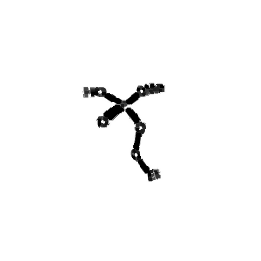 CCOOP(=O)(O)OC